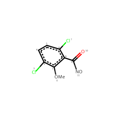 COc1c(Cl)ccc(Cl)c1C(=O)N=O